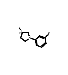 [CH2][C@@H]1CCN(c2cccc(F)c2)C1